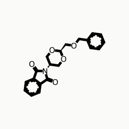 O=C1c2ccccc2C(=O)N1[C@H]1CO[C@H](COCc2ccccc2)OC1